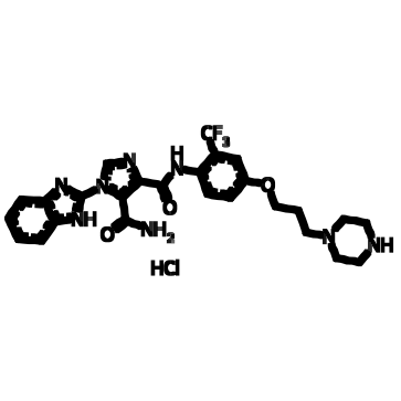 Cl.NC(=O)c1c(C(=O)Nc2ccc(OCCCN3CCNCC3)cc2C(F)(F)F)ncn1-c1nc2ccccc2[nH]1